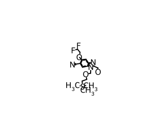 CS(C)(C)CCOCn1c(C=O)nc2cc(OCC(F)F)c(C#N)cc21